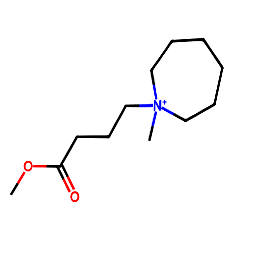 COC(=O)CCC[N+]1(C)CCCCCC1